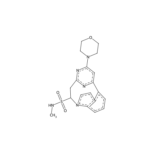 CNS(=O)(=O)C1Cc2nc(cc(N3CCOCC3)n2)-c2cccc3c2ccn31